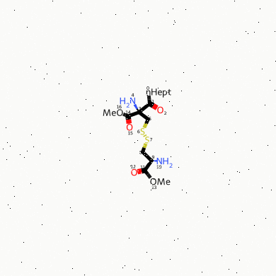 CCCCCCCC(=O)[C@](N)(CSSC[C@H](N)C(=O)OC)C(=O)OC